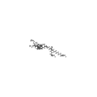 CC(C)CCC[C@@H](C)[C@H]1CC[C@H]2[C@@H]3CC=C4C[C@@H](SSCCC(=O)N(CCCN)CCCCCCCCN)CC[C@]4(C)[C@H]3CC[C@]12C